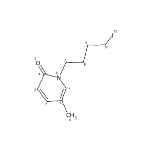 Cc1ccc(=O)n(CCCCI)c1